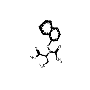 CC[C@@H](C(O)=S)N(Oc1cccc2ccccc12)C(C)=O